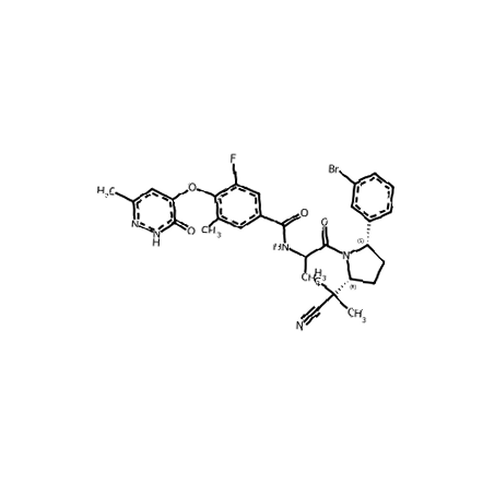 Cc1cc(Oc2c(C)cc(C(=O)NC(C)C(=O)N3[C@H](c4cccc(Br)c4)CC[C@@H]3C(C)(C)C#N)cc2F)c(=O)[nH]n1